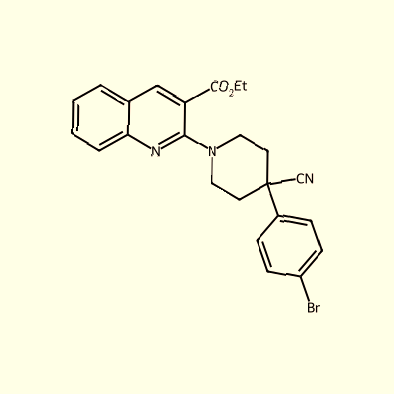 CCOC(=O)c1cc2ccccc2nc1N1CCC(C#N)(c2ccc(Br)cc2)CC1